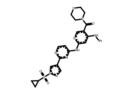 CC(C)Nc1cc(Nc2ccnc(-c3cnn(S(=O)(=O)C4CC4)c3)n2)ncc1C(=O)N1CCOCC1